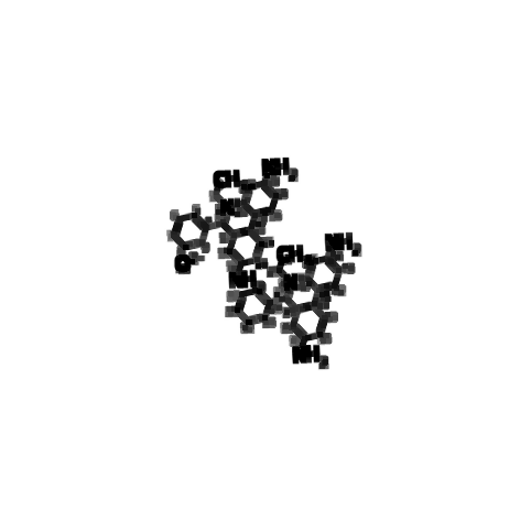 CC[n+]1c(-c2ccccc2)c2cc(N)ccc2c2ccc(N)cc21.CC[n+]1c(-c2ccccc2)c2cc(N)ccc2c2ccc(N)cc21.[O-2]